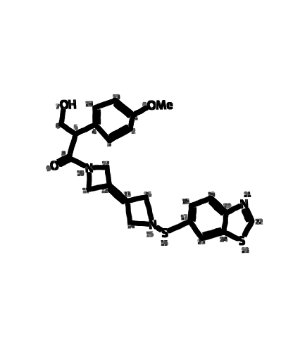 COc1ccc(C(CO)C(=O)N2CC(=C3CN(Sc4ccc5ncsc5c4)C3)C2)cc1